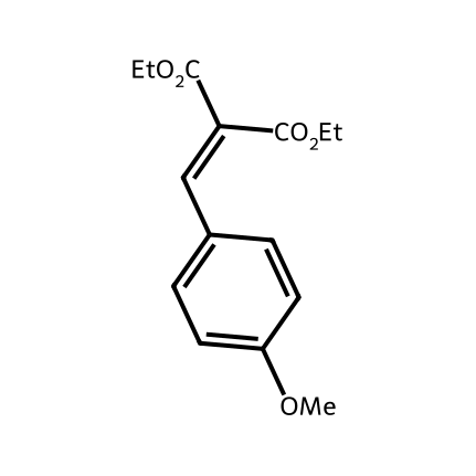 CCOC(=O)C(=Cc1ccc(OC)cc1)C(=O)OCC